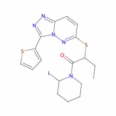 CCC(Sc1ccc2nnc(-c3cccs3)n2n1)C(=O)N1CCCCC1I